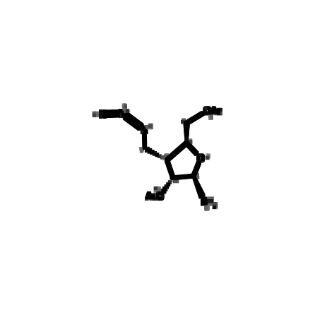 B[C@@H]1O[C@H](COC(C)=O)[C@@H](CN=[N+]=[N-])[C@H]1OC(C)=O